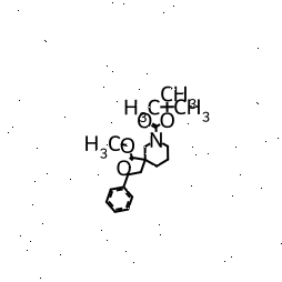 COC(=O)C1(CCc2ccccc2)CCCN(C(=O)OC(C)(C)C)C1